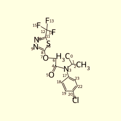 CC(C)N(C(=O)COc1nnc(C(F)(F)F)s1)c1ccc(Cl)cc1